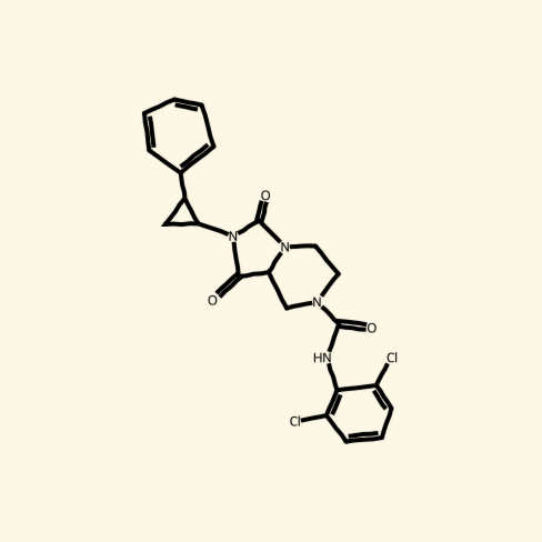 O=C(Nc1c(Cl)cccc1Cl)N1CCN2C(=O)N(C3CC3c3ccccc3)C(=O)C2C1